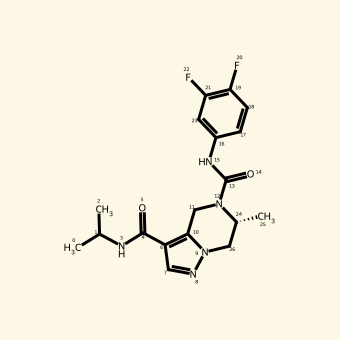 CC(C)NC(=O)c1cnn2c1CN(C(=O)Nc1ccc(F)c(F)c1)[C@H](C)C2